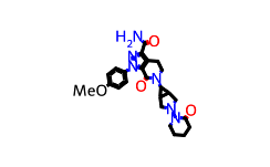 COc1ccc(-n2nc(C(N)=O)c3c2C(=O)N(C2C4CN(N5CCCCC5=O)CC42)CC3)cc1